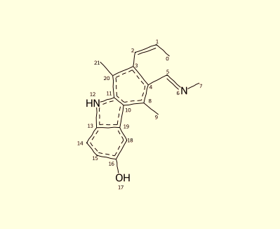 C/C=C\c1c(/C=N/C)c(C)c2c([nH]c3ccc(O)cc32)c1C